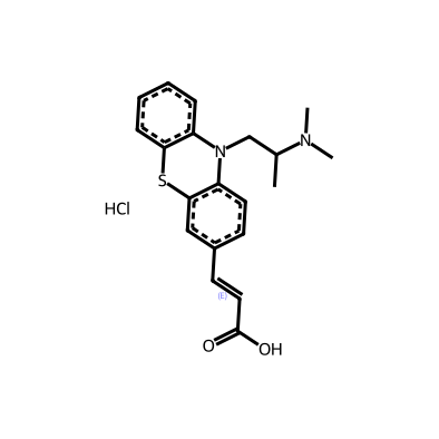 CC(CN1c2ccccc2Sc2cc(/C=C/C(=O)O)ccc21)N(C)C.Cl